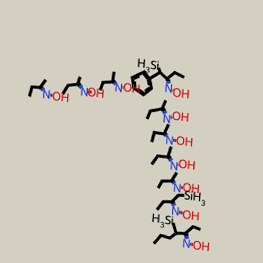 CCC(=NO)C([SiH3])c1ccccc1.CCC(C)=NO.CCC(C)=NO.CCC(C)=NO.CCC(C)=NO.CCC(C)=NO.CCC(C)=NO.CCC(C)=NO.CCC(C[SiH3])=NO.CCCC([SiH3])C(CC)=NO